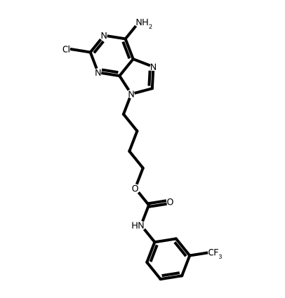 Nc1nc(Cl)nc2c1ncn2CCCCOC(=O)Nc1cccc(C(F)(F)F)c1